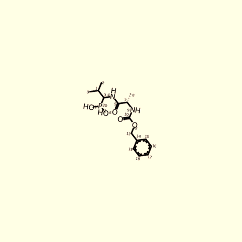 CC(C)C(NC(=O)[C@H](C)NC(=O)OCc1ccccc1)P(O)O